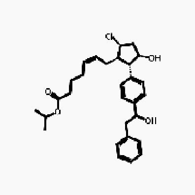 CC(C)OC(=O)CCC/C=C\C[C@@H]1[C@@H](c2ccc(C(O)Cc3ccccc3)cc2)[C@H](O)C[C@@H]1Cl